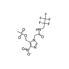 CS(=O)(=O)OCc1c([N+](=O)[O-])ncn1CC(=O)NCC(F)(F)C(F)(F)F